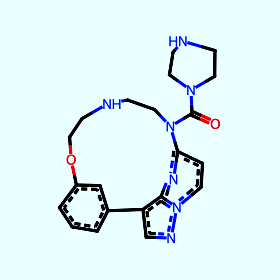 O=C(N1CCNCC1)N1CCNCCOc2cccc(c2)-c2cnn3ccc1nc23